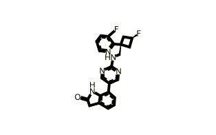 O=C1Cc2cccc(-c3cnc(NC[C@]4(c5ncccc5F)C[C@H](F)C4)nc3)c2N1